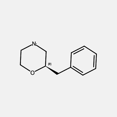 c1ccc(C[C@@H]2C[N]CCO2)cc1